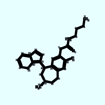 CCCCNC(=O)Oc1cc2c(cc1Cl)CCN(C)CC2c1ccc2cccoc1-2